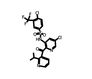 CC(C)c1ncccc1C(=O)c1ncc(Cl)cc1NS(=O)(=O)c1ccc(Cl)c(C(F)(F)F)c1